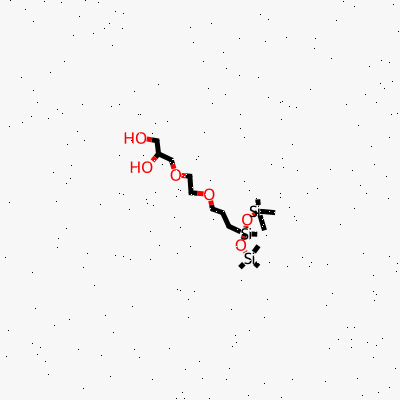 C[Si](C)(C)O[Si](C)(CCCOCCOCC(O)CO)O[Si](C)(C)C